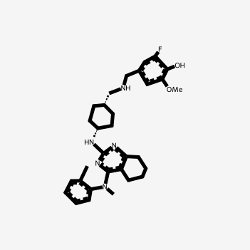 COc1cc(CNC[C@H]2CC[C@@H](Nc3nc4c(c(N(C)c5ccccc5C)n3)CCCC4)CC2)cc(F)c1O